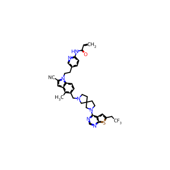 C=CC(=O)Nc1ccc(CCn2c(C#N)cc3c(C)c(CN4CCC5(CCN(c6ncnc7sc(CC(F)(F)F)cc67)C5)C4)ccc32)cn1